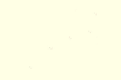 Cc1ccc(CNC2CCN(CCn3c(=O)ccc4ncc(F)cc43)CC2)cc1[N+](=O)[O-]